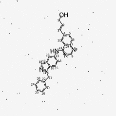 OC/C=C/c1ccc2ncnc(Nc3ccc4c(cnn4Cc4ccccc4)c3)c2c1